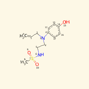 C=CCN(CCNS(C)(=O)=O)c1ccc(O)cc1